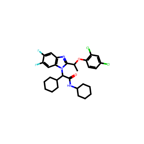 CC(Oc1ccc(Cl)cc1Cl)c1nc2cc(F)c(F)cc2n1C(C(=O)NC1CCCCC1)C1CCCCC1